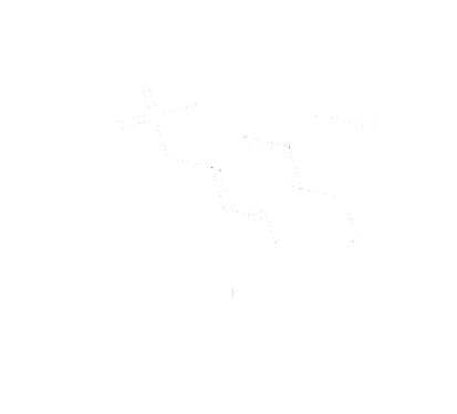 COc1cc(CS(=O)(=O)Cl)cc(OC)c1OC